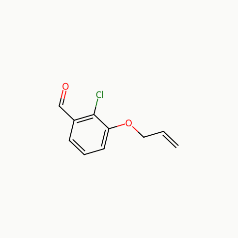 C=CCOc1cccc(C=O)c1Cl